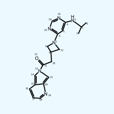 CC(C)Nc1cc(N2CC(CC(=O)n3cc4cccnc4c3)C2)ncn1